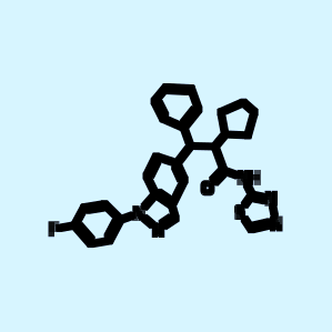 O=C(Nc1nncs1)C(C1CCCC1)C(c1ccccc1)c1ccc2c(cnn2-c2ccc(F)cc2)c1